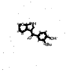 CC(C)(C)c1cc(C(=O)C2CNc3ccccc32)ccc1O